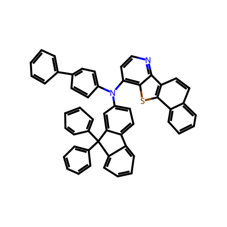 c1ccc(-c2ccc(N(c3ccc4c(c3)C(c3ccccc3)(c3ccccc3)c3ccccc3-4)c3ccnc4c3sc3c5ccccc5ccc43)cc2)cc1